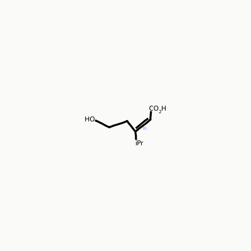 CC(C)/C(=C/C(=O)O)CCO